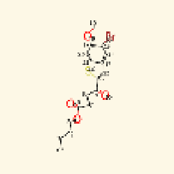 CCCCOC(=O)CCC(=O)c1cc2cc(Br)c(OC)cc2s1